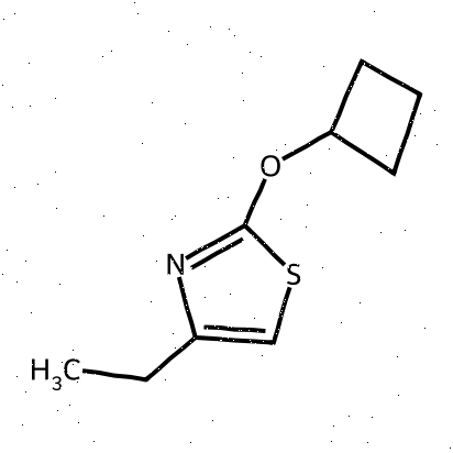 CCc1csc(OC2CCC2)n1